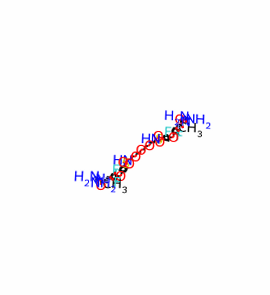 C/C(=C\c1cc(F)c(Oc2ccc(S(=O)(=O)NCCOCCOCCOCCNS(=O)(=O)c3ccc(Oc4c(F)cc(/C=C(\C)C(=O)N=C(N)N)cc4F)cc3)cc2)c(F)c1)C(=O)N=C(N)N